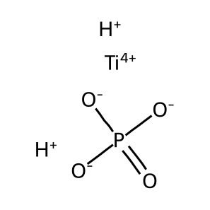 O=P([O-])([O-])[O-].[H+].[H+].[Ti+4]